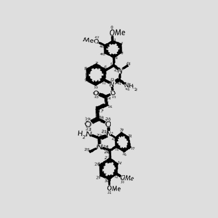 COc1ccc(C2c3ccccc3[N+](OC(=O)/C=C/C(=O)O[N+]3=C(N)N(C)C(c4ccc(OC)c(OC)c4)c4ccccc43)=C(N)N2C)cc1OC